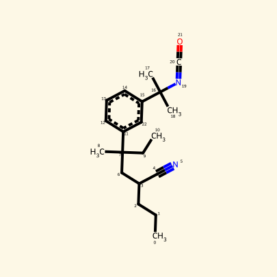 CCCC(C#N)CC(C)(CC)c1cccc(C(C)(C)N=C=O)c1